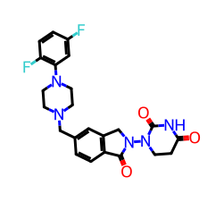 O=C1CCN(N2Cc3cc(CN4CCN(c5cc(F)ccc5F)CC4)ccc3C2=O)C(=O)N1